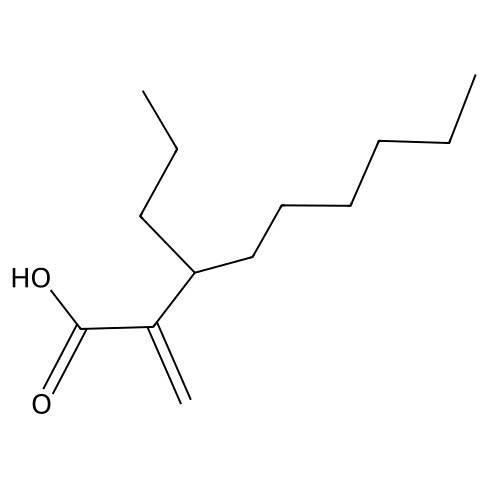 C=C(C(=O)O)C(CCC)CCCCCC